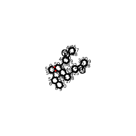 c1ccc(-c2ccc3ccccc3c2-c2c3cccc(-c4ccc5c(c4)oc4ccccc45)c3cc3c(-c4ccc5c(c4)oc4ccccc45)cccc23)cc1